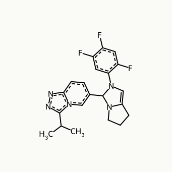 CC(C)c1nnc2ccc(C3N4CCCC4=CN3c3cc(F)c(F)cc3F)cn12